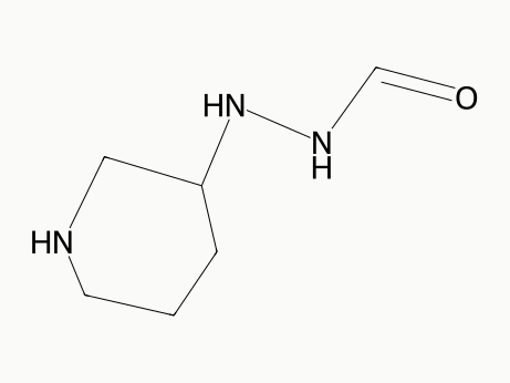 O=CNNC1CCCNC1